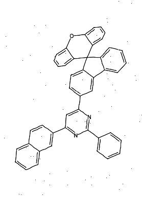 c1ccc(-c2nc(-c3ccc4c(c3)-c3ccccc3C43c4ccccc4Oc4ccccc43)cc(-c3ccc4ccccc4c3)n2)cc1